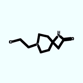 O=C1CC2(CCN(CCCl)CC2)N1